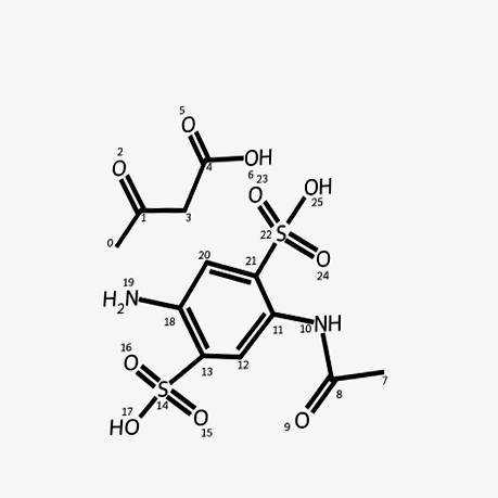 CC(=O)CC(=O)O.CC(=O)Nc1cc(S(=O)(=O)O)c(N)cc1S(=O)(=O)O